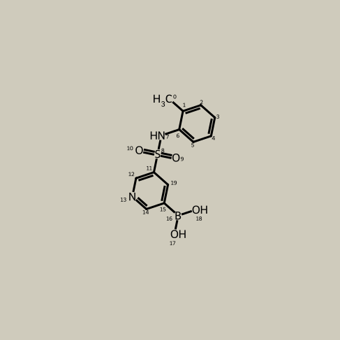 Cc1ccccc1NS(=O)(=O)c1cncc(B(O)O)c1